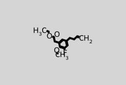 C=CCCc1cc(F)c(OC)c(CC(=O)OCC)c1